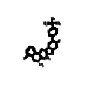 Cc1nc2cc(F)c(-c3cnc(C(C)(C)O)nc3)cn2c1CN1C(=O)[C@H](C)Oc2c(F)cccc21